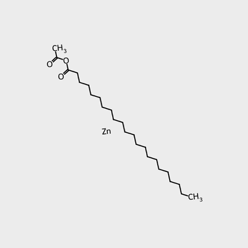 CCCCCCCCCCCCCCCCCCCCCC(=O)OC(C)=O.[Zn]